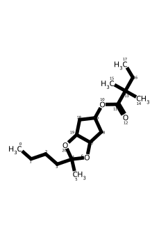 CCCCC1(C)OC2CC(OC(=O)C(C)(C)CC)CC2O1